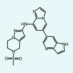 CS(=O)(=O)N1CCn2nc(Nc3cc(-c4cnc5cc[nH]c5c4)cn4ccnc34)cc2C1